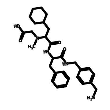 CN(CC(=O)O)C(CC1CCCCC1)C(=O)NC(Cc1ccccc1)C(=O)NCc1ccc(CN)cc1